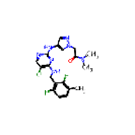 Cc1ccc(F)c(CNc2nc(Nc3cnn(CC(=O)N(C)C)c3)ncc2Cl)c1F